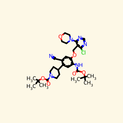 CC(C)(C)OC(=O)Nc1cc(C2CCN(C(=O)OC(C)(C)C)CC2)c(C#N)cc1OCc1c(Cl)ncnc1N1CCOCC1